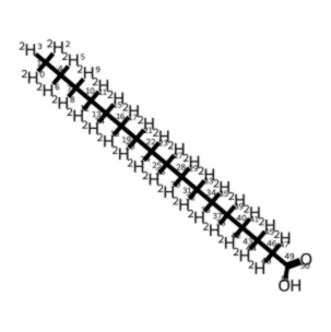 [2H]C([2H])([2H])C([2H])([2H])C([2H])([2H])C([2H])([2H])C([2H])([2H])C([2H])([2H])C([2H])([2H])C([2H])([2H])C([2H])([2H])C([2H])([2H])C([2H])([2H])C([2H])([2H])C([2H])([2H])C([2H])([2H])C([2H])([2H])C([2H])([2H])C(=O)O